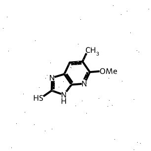 COc1nc2[nH]c(S)nc2cc1C